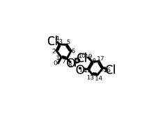 Cc1cc(Cl)ccc1OP(Cl)Oc1ccc(Cl)cc1C